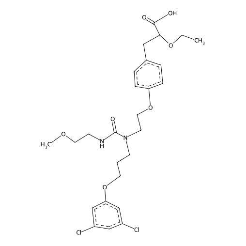 CCOC(Cc1ccc(OCCN(CCCOc2cc(Cl)cc(Cl)c2)C(=O)NCCOC)cc1)C(=O)O